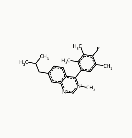 Cc1cc(-c2c3ccc(CC(C)C)cc3nc[n+]2C)c(C)c(C)c1F